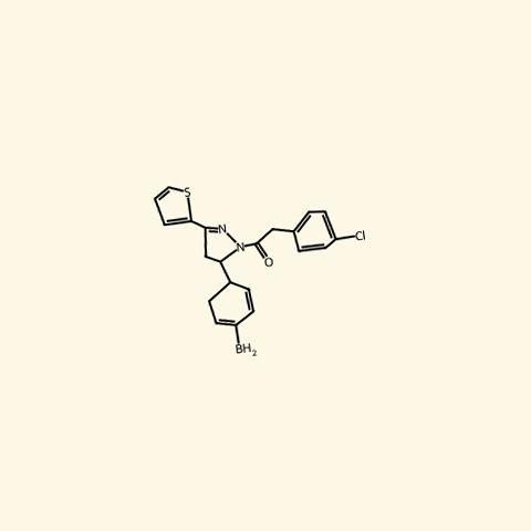 BC1=CCC(C2CC(c3cccs3)=NN2C(=O)Cc2ccc(Cl)cc2)C=C1